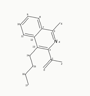 C=C(C)c1nc(C)c2ccccc2c1CCCC